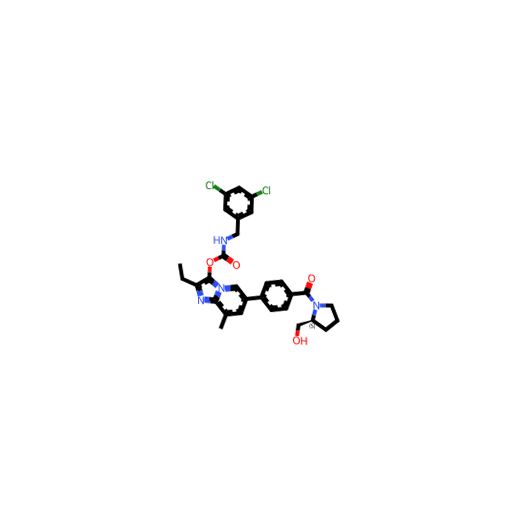 CCc1nc2c(C)cc(-c3ccc(C(=O)N4CCC[C@H]4CO)cc3)cn2c1OC(=O)NCc1cc(Cl)cc(Cl)c1